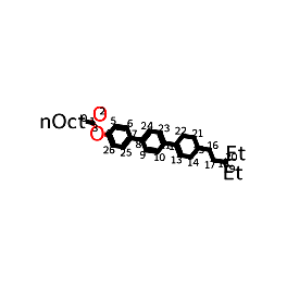 CCCCCCCCC(=O)Oc1ccc(-c2ccc(C3=CCC(CCC(CC)CC)CC3)cc2)cc1